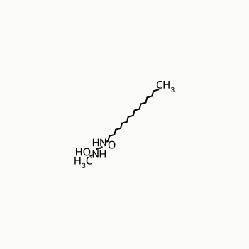 CCCCCCCCCCCCCCCCCC(=O)NCCNC(C)O